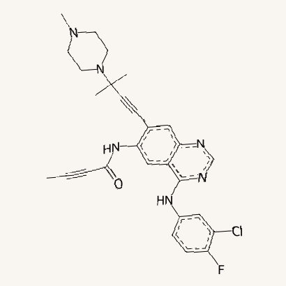 CC#CC(=O)Nc1cc2c(Nc3ccc(F)c(Cl)c3)ncnc2cc1C#CC(C)(C)N1CCN(C)CC1